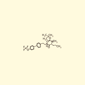 CCC[C@@H](C(=O)NCCc1ccc(-c2ccc(OC(F)(F)F)cc2)cc1)N(C)C(=O)OC(C)(C)C